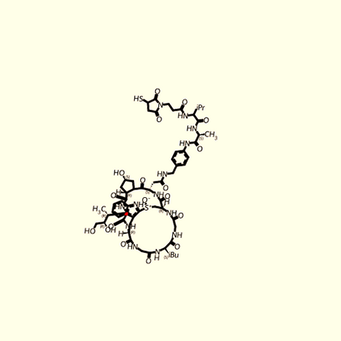 CC[C@H](C)C1NC(=O)CNC(=O)[C@H]2Cc3c([nH]c4ccccc34)[S+]([O-])C[C@H](NC(=O)CNC1=O)C(=O)N[C@@H](CC(=O)NCc1ccc(NC(=O)[C@H](C)NC(=O)C(NC(=O)CCN3C(=O)CC(S)C3=O)C(C)C)cc1)C(=O)C1C[C@H](O)C[C@H]1C(=O)NC([C@@H](C)[C@@H](O)CO)C(=O)N2